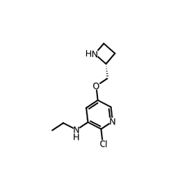 CCNc1cc(OC[C@H]2CCN2)cnc1Cl